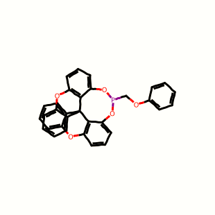 c1ccc(OCP2Oc3cccc4c3C3(c5ccccc5O4)c4ccccc4Oc4cccc(c43)O2)cc1